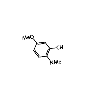 CNc1ccc(OC)cc1C#N